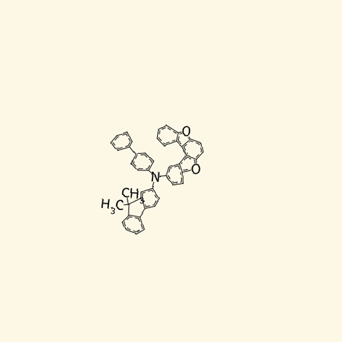 CC1(C)c2ccccc2-c2ccc(N(c3ccc(-c4ccccc4)cc3)c3ccc4oc5ccc6oc7ccccc7c6c5c4c3)cc21